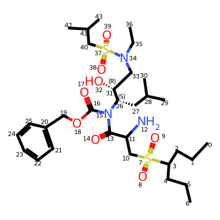 CCCC(CCC)S(=O)(=O)CC(N)C(=O)N(C(=O)OCc1ccccc1)[C@@H](CC(C)C)[C@H](O)CN(CC)S(=O)(=O)CC(C)C